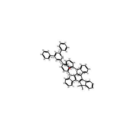 CC1(C)c2ccccc2-c2c1c1c3ccccc3n(-c3ccc(-c4cc(-c5ccccc5)cc(-c5ccccc5)n4)cc3)c1c1c2c2ccccc2n1-c1ccccc1